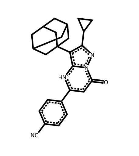 N#Cc1ccc(-c2cc(=O)n3nc(C4CC4)c(C45CC6CC(CC(C6)C4)C5)c3[nH]2)cc1